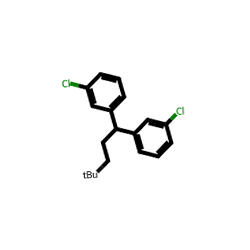 CC(C)(C)CCC(c1cccc(Cl)c1)c1cccc(Cl)c1